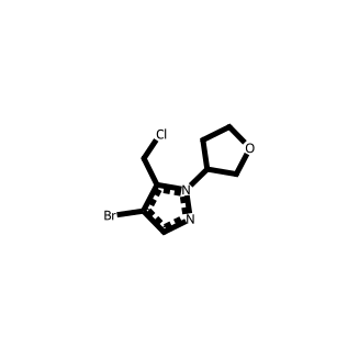 ClCc1c(Br)cnn1C1CCOC1